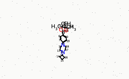 CC1(C)OB(c2ccc(N3CCN(C4CCC4)CC3)cc2)OC1(C)C